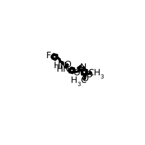 COc1cc2nccc(Oc3ccc(NC(=O)NCCCc4ccc(F)cc4)cc3)c2cc1OC